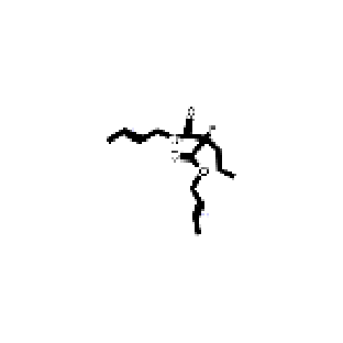 C/C=C/COC(=O)C(F)(CCC)C(=O)OC/C=C/C